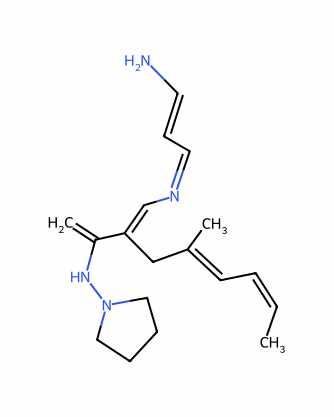 C=C(NN1CCCC1)/C(=C/N=C\C=C\N)C/C(C)=C/C=C\C